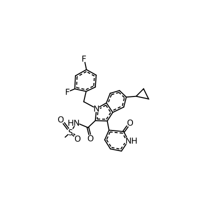 CS(=O)(=O)NC(=O)c1c(-c2ccc[nH]c2=O)c2cc(C3CC3)ccc2n1Cc1ccc(F)cc1F